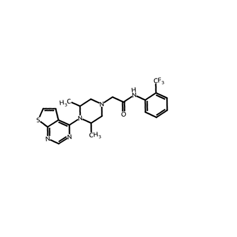 CC1CN(CC(=O)Nc2ccccc2C(F)(F)F)CC(C)N1c1ncnc2sccc12